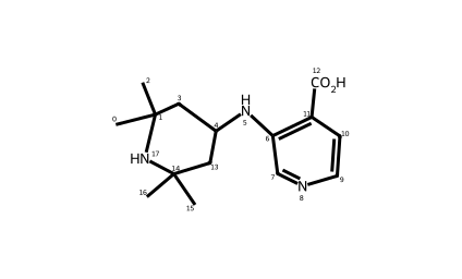 CC1(C)CC(Nc2cnccc2C(=O)O)CC(C)(C)N1